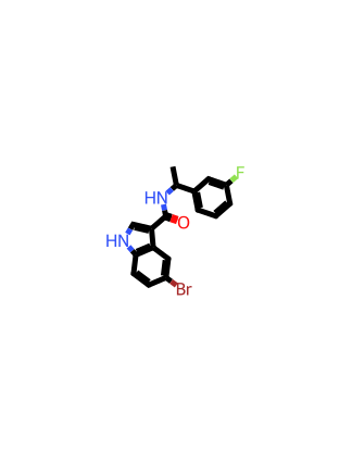 CC(NC(=O)c1c[nH]c2ccc(Br)cc12)c1cccc(F)c1